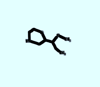 CCC(OC)C1CNCC[N]1